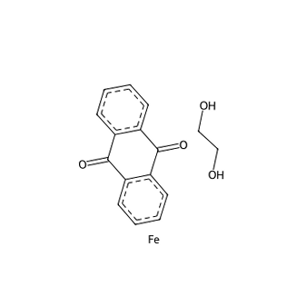 O=C1c2ccccc2C(=O)c2ccccc21.OCCO.[Fe]